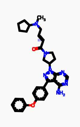 CN(C/C=C/C(=O)N1CCC(n2nc(-c3ccc(Oc4ccccc4)cc3)c3c(N)ncnc32)C1)C1CCCC1